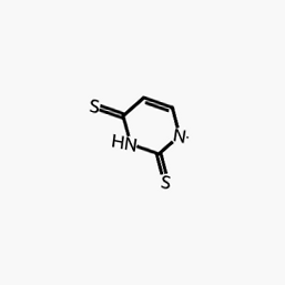 S=C1C=C[N]C(=S)N1